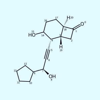 O=C1C[C@@H]2[C@H](C#C[C@@H](O)C3CCCC3)C(O)CC[C@@H]12